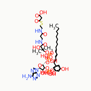 CC(C)(COP(=O)(O)OP(=O)(O)OC[C@H]1O[C@@H](n2cnc3c(N)ncnc32)[C@H](O)[C@@H]1OP(=O)(O)O)[C@@H](O)C(=O)NCCC(=O)NCCSC(=O)CC(=O)O.CCCCCCCCCC=CC=CC=Cc1cc(O)cc(O)c1